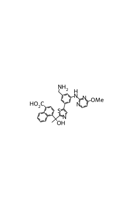 COc1ccnc(Nc2cc(CN)cc(-c3cnc(C(C)(O)c4ccc(C(=O)O)c5ccccc45)s3)c2)n1